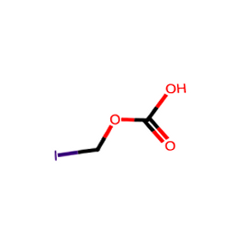 O=C(O)OCI